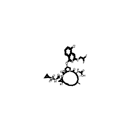 C[C@H]1CC/C=C\[C@@H]2C[C@@]2(C(=O)NS(=O)(=O)C2CC2)NC(=O)[C@@H]2C[C@@H](Oc3nc(OCC(F)F)cc4c(Cl)cccc34)CN2C(=O)[C@@H](NC(=O)O)[C@H](C)C1